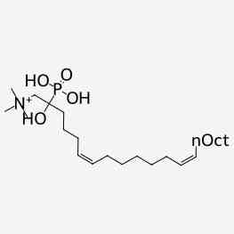 CCCCCCCC/C=C\CCCCC/C=C\CCCC(O)(C[N+](C)(C)C)P(=O)(O)O